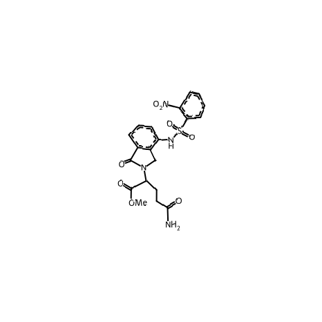 COC(=O)C(CCC(N)=O)N1Cc2c(NS(=O)(=O)c3ccccc3[N+](=O)[O-])cccc2C1=O